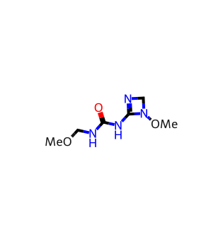 COCNC(=O)NC1=NCN1OC